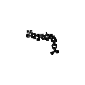 CC(NC(=O)c1cc(N2CCN(C(=O)C3CC3)CC2)ncn1)c1ncc(C(=O)Nc2cc(C(F)(F)F)c(Cl)cn2)s1